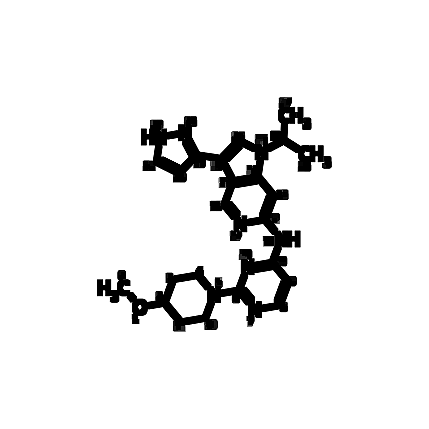 COC1CCN(c2nccc(Nc3cc4c(cn3)c(-c3cc[nH]n3)cn4C(C)C)n2)CC1